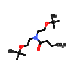 CC(C)(C)[Si](C)(C)OCCN(CCO[Si](C)(C)C(C)(C)C)C(=O)CCC(=O)O